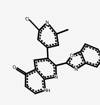 Cc1cc(-c2cc3c(=O)cc[nH]c3nc2-c2nc3ccccc3o2)cc(Cl)n1